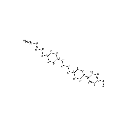 CCc1ccc(C2CCC(CCCCC3CCC(CCC=CC#N)CC3)CC2)cc1